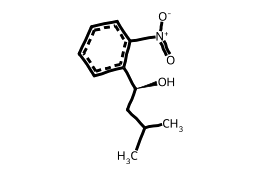 CC(C)C[C@H](O)c1ccccc1[N+](=O)[O-]